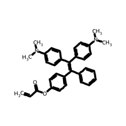 C=CC(=O)Oc1ccc(C(=C(c2ccc(N(C)C)cc2)c2ccc(N(C)C)cc2)c2ccccc2)cc1